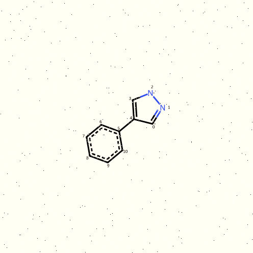 [C]1=N[N]C=C1c1ccccc1